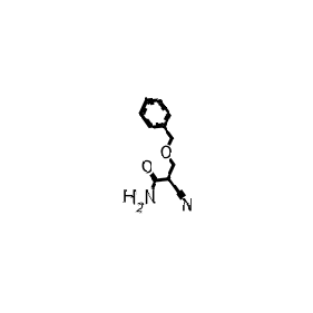 N#CC(COCc1ccccc1)C(N)=O